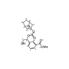 COC(=O)c1cccc(C(CO)OC(=O)OC2CC3CCC(C2)N3C)c1